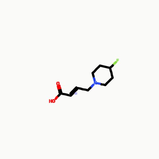 O=C(O)/C=C/CN1CCC(F)CC1